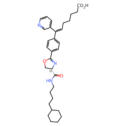 O=C(O)CCCCC=C(c1ccc(C2=N[C@H](C(=O)NCCCCC3CCCCC3)CO2)cc1)c1cccnc1